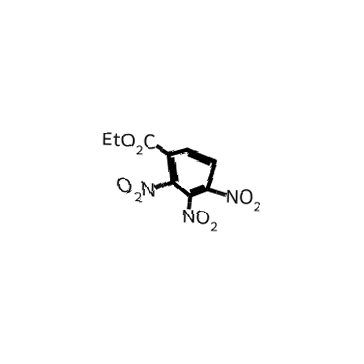 CCOC(=O)c1ccc([N+](=O)[O-])c([N+](=O)[O-])c1[N+](=O)[O-]